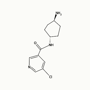 N[C@H]1CC[C@H](NC(=O)c2cncc(Cl)c2)CC1